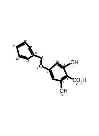 O=C(O)c1c(O)cc(OCc2ccccc2)cc1O